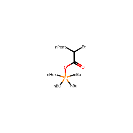 CCCCCCP(CCCC)(CCCC)(CCCC)OC(=O)C(CC)CCCCC